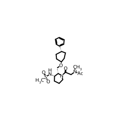 CC(=O)N(C)CC(=O)N1CCC[C@H](NS(C)(=O)=O)[C@@H]1CO[C@H]1CC[C@@H](c2ccccc2)CC1